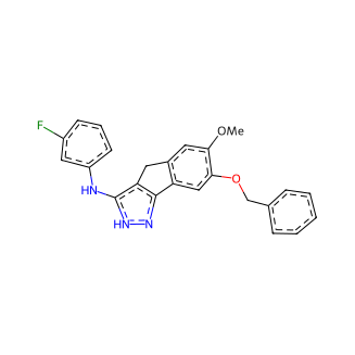 COc1cc2c(cc1OCc1ccccc1)-c1n[nH]c(Nc3cccc(F)c3)c1C2